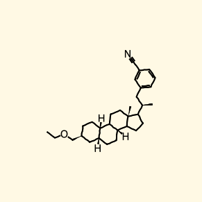 CCOC[C@H]1CC[C@@H]2C3CC[C@@]4(C)C(CCC4[C@H](C)Cc4cccc(C#N)c4)[C@@H]3CC[C@@H]2C1